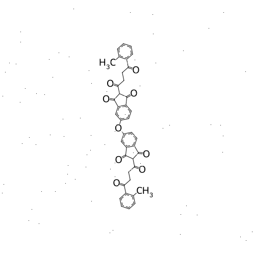 Cc1ccccc1C(=O)CCC(=O)C1C(=O)c2ccc(Oc3ccc4c(c3)C(=O)C(C(=O)CCC(=O)c3ccccc3C)C4=O)cc2C1=O